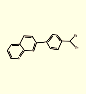 CCC(CC)c1ccc(-c2ccc3cccnc3c2)cc1